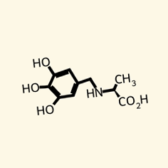 C[C@H](NCc1cc(O)c(O)c(O)c1)C(=O)O